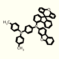 Cc1ccc(N(c2ccc(C)cc2)c2ccc(N(c3ccc4c(c3)oc3ccccc34)c3cccc4c3-c3ccccc3C43c4ccccc4Oc4ccccc43)cc2)cc1